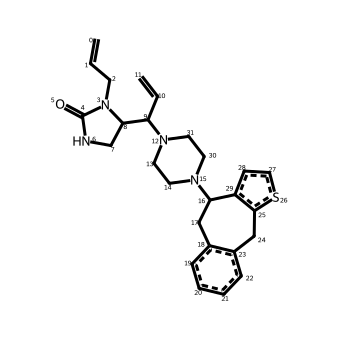 C=CCN1C(=O)NCC1C(C=C)N1CCN(C2Cc3ccccc3Cc3sccc32)CC1